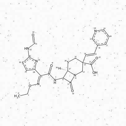 CCON=C(C(=O)NC1C(=O)N2CC(C=Cc3cccnc3)(C(=O)O)CS[C@H]12)c1csc(NC=O)n1